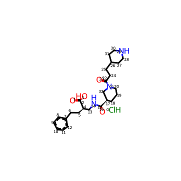 Cl.O=C(O)[C@H](CCc1ccccc1)CNC(=O)[C@@H]1CCCN(C(=O)CCC2CCNCC2)C1